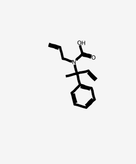 C=CCN(C(=O)O)C(C)(C=C)c1ccccc1